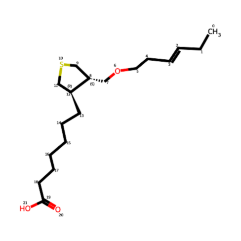 CCC=CCCOC[C@H]1CSC[C@@H]1CCCCCCC(=O)O